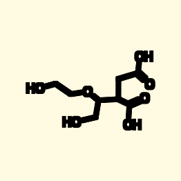 O=C(O)CC(C(=O)O)C(CO)OCCO